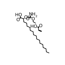 C=CC(=O)O.CCCCCCCCCCCCCCCCC(O)C(=O)O.CCOC(N)=O